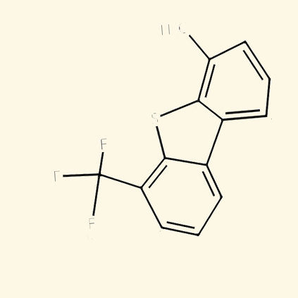 Cc1cccc2c1sc1c(C(F)(F)F)cccc12